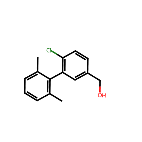 Cc1cccc(C)c1-c1cc(CO)ccc1Cl